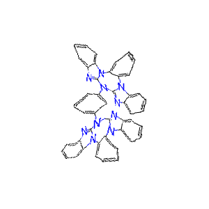 c1cc(-n2c3nc4ccccc4n3c3ccccc3n3c4ccccc4nc23)cc(-n2c3nc4ccccc4n3c3ccccc3n3c4ccccc4nc23)c1